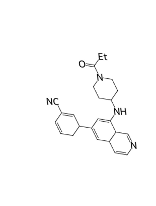 CCC(=O)N1CCC(NC2=CC(C3C=C(C#N)C=CC3)=CC3C=CN=CC23)CC1